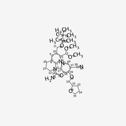 COC(OC)c1nc2c(cc1CO[Si](C)(C)C(C)(C)C)CCC[N+]2(C(N)=O)c1cc(OCC2CCCO2)c(C#N)cn1